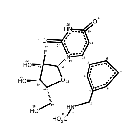 O=C(O)NCc1ccccc1.O=c1ccn([C@@H]2O[C@H](CO)[C@@H](O)[C@]2(O)F)c(=O)[nH]1